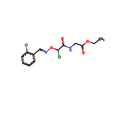 CCOC(=O)CNC(=O)C(Cl)ON=Cc1ccccc1Cl